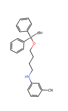 CC(C)(C)[Si](OCCCCNc1cccc(C#N)c1)(c1ccccc1)c1ccccc1